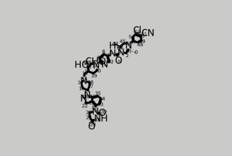 C[C@@H]1CN(C(=O)Nc2ccc(N3CCC(CN4CCC(n5ncc6c(N7CCC(=O)NC7=O)cccc65)CC4)CC3)nc2)[C@@H](C)CN1c1ccc(C#N)c(Cl)c1.O=CO